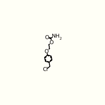 NC(=O)OCCOc1ccc(CCl)cc1